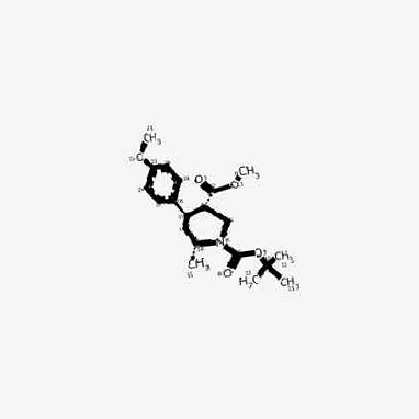 COC(=O)[C@@H]1CN(C(=O)OC(C)(C)C)[C@H](C)C[C@H]1c1ccc(OC)cc1